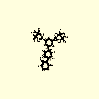 CC1(C)OB(c2cc(B3OC(C)(C)C(C)(C)O3)cc(-c3ccc4c(c3)oc3ccccc34)c2)OC1(C)C